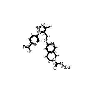 Cc1nnn(-c2ccc(C(F)F)nc2)c1COc1cc2c(cn1)CN(C(=O)OC(C)(C)C)CC2